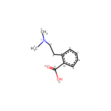 CN(C)CCc1ccccc1C(=O)O